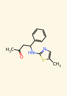 CC(=O)CC(Nc1ncc(C)s1)c1ccccc1